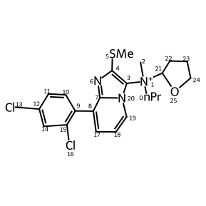 CCC[N+](C)(c1c(SC)nc2c(-c3ccc(Cl)cc3Cl)cccn12)C1CCCO1